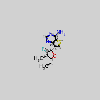 CC[C@H]1O[C@@H](c2csc3c(N)ncnc23)[C@H](F)[C@@H]1C